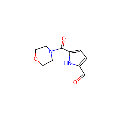 O=Cc1ccc(C(=O)N2CCOCC2)[nH]1